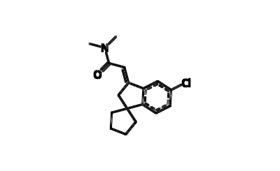 CN(C)C(=O)C=C1CC2(CCCC2)c2ccc(Cl)cc21